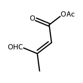 CC(=O)OC(=O)/C=C(/C)C=O